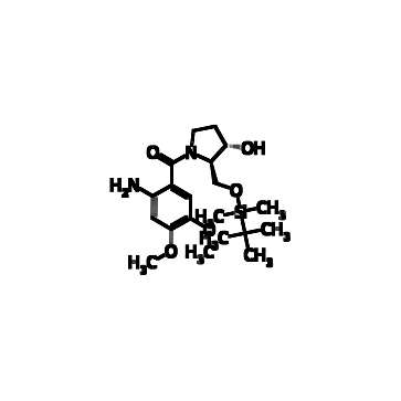 COc1cc(N)c(C(=O)N2CC[C@H](O)[C@H]2CO[Si](C)(C)C(C)(C)C)cc1OC